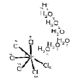 O.O.O.O.O.O.[Cl][Ir-]([Cl])([Cl])([Cl])([Cl])[Cl].[H+]